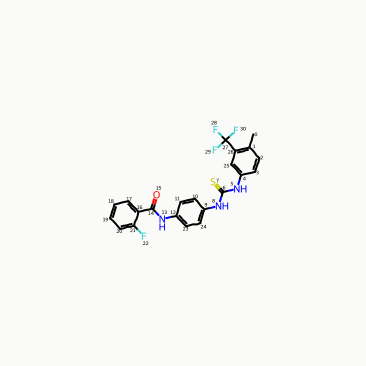 Cc1ccc(NC(=S)Nc2ccc(NC(=O)c3ccccc3F)cc2)cc1C(F)(F)F